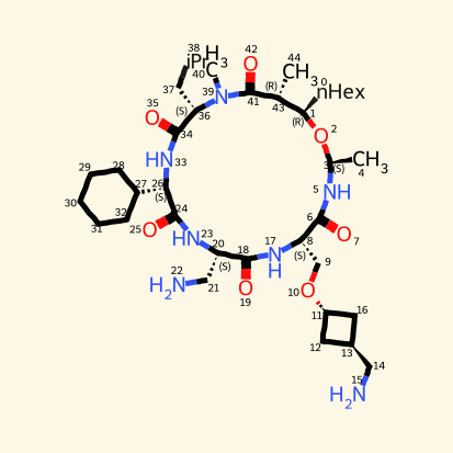 CCCCCC[C@H]1O[C@@H](C)NC(=O)[C@H](CO[C@H]2C[C@H](CN)C2)NC(=O)[C@H](CN)NC(=O)[C@H](C2CCCCC2)NC(=O)[C@H](CC(C)C)N(C)C(=O)[C@@H]1C